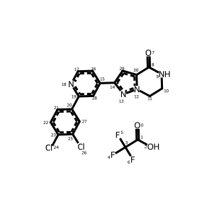 O=C(O)C(F)(F)F.O=C1NCCn2nc(-c3ccnc(-c4ccc(Cl)c(Cl)c4)c3)cc21